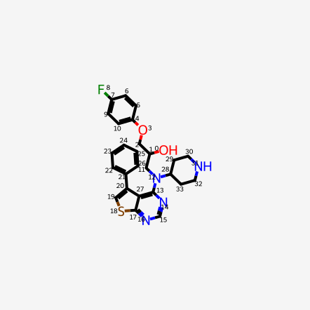 OC(COc1ccc(F)cc1)CN(c1ncnc2scc(-c3ccccc3)c12)C1CCNCC1